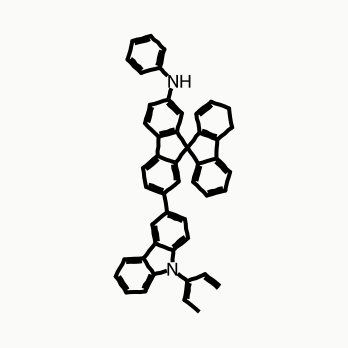 C=C/C(=C\C)n1c2ccccc2c2cc(-c3ccc4c(c3)C3(C5=C(CCC=C5)c5ccccc53)c3cc(Nc5ccccc5)ccc3-4)ccc21